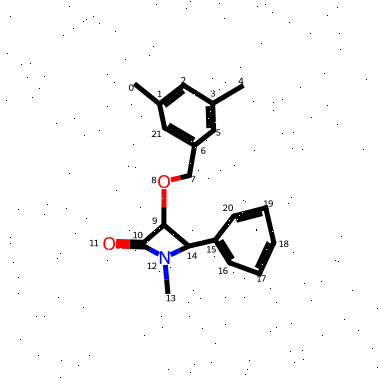 Cc1cc(C)cc(COC2C(=O)N(C)C2c2ccccc2)c1